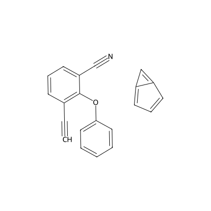 C#Cc1cccc(C#N)c1Oc1ccccc1.c1cc2cc-2c1